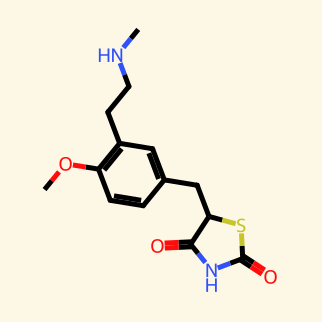 CNCCc1cc(CC2SC(=O)NC2=O)ccc1OC